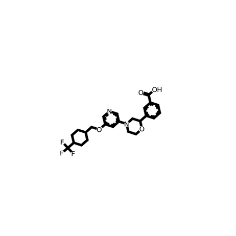 O=C(O)c1cccc(C2CN(c3cncc(OCC4CCC(C(F)(F)F)CC4)c3)CCO2)c1